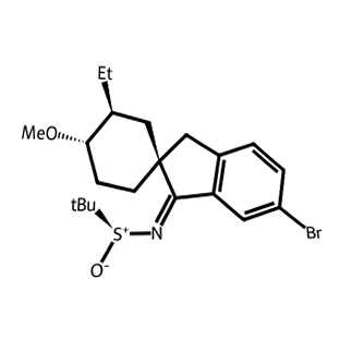 CC[C@H]1C[C@@]2(CC[C@@H]1OC)Cc1ccc(Br)cc1/C2=N/[S@@+]([O-])C(C)(C)C